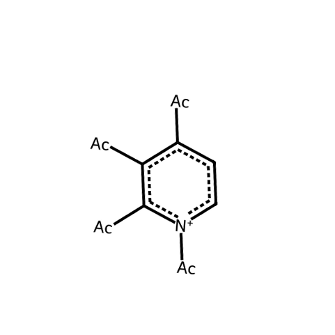 CC(=O)c1cc[n+](C(C)=O)c(C(C)=O)c1C(C)=O